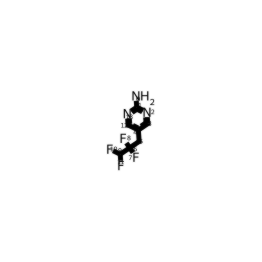 Nc1ncc(CC(F)(F)C(F)F)cn1